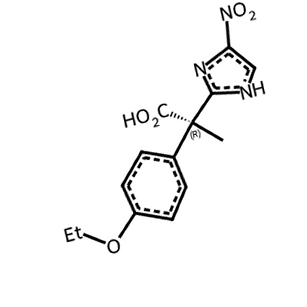 CCOc1ccc([C@@](C)(C(=O)O)c2nc([N+](=O)[O-])c[nH]2)cc1